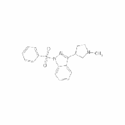 CN1CCC(c2nn(S(=O)(=O)c3ccccc3)c3ccccc23)C1